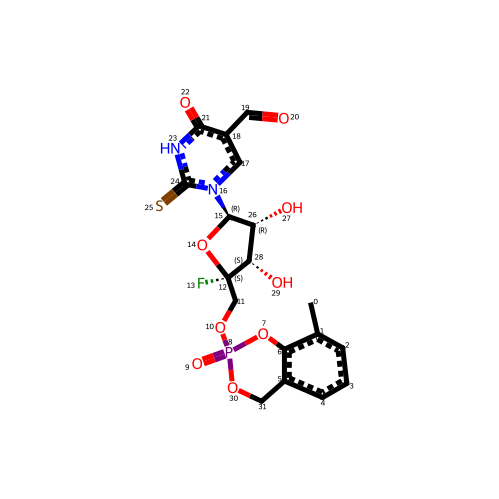 Cc1cccc2c1OP(=O)(OC[C@@]1(F)O[C@@H](n3cc(C=O)c(=O)[nH]c3=S)[C@H](O)[C@@H]1O)OC2